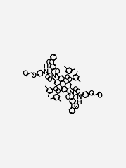 Cc1cc(C)cc(Oc2cc3c4c(cc(Oc5cc(C)cc(C)c5)c5c6c(Oc7cc(C)cc(C)c7)cc7c8c(cc(Oc9cc(C)cc(C)c9)c(c2c45)c86)C(=O)N(C(C(=O)Nc2ccc(OCC4CO4)cc2)c2ccc4c(c2)oc2ccccc24)C7=O)C(=O)N(C(C(=O)Nc2ccc(OCC4CO4)cc2)c2ccc4c(c2)oc2ccccc24)C3=O)c1